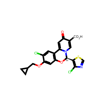 O=C(O)c1cn2c(cc1=O)-c1cc(Cl)c(OCC3CC3)cc1O[C@@H]2c1scnc1Cl